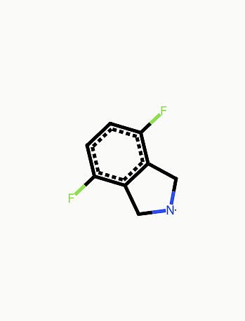 Fc1ccc(F)c2c1C[N]C2